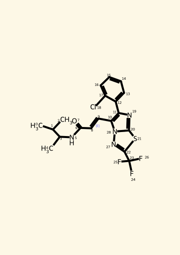 CC(C)C(C)NC(=O)/C=C/c1c(-c2ccccc2Cl)nc2sc(C(F)(F)F)nn12